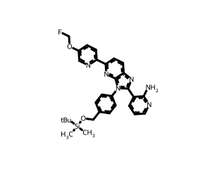 CC(C)(C)[Si](C)(C)OCc1ccc(-n2c(-c3cccnc3N)nc3ccc(-c4ccc(OCF)cn4)nc32)cc1